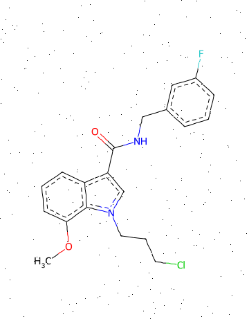 COc1cccc2c(C(=O)NCc3cccc(F)c3)cn(CCCCl)c12